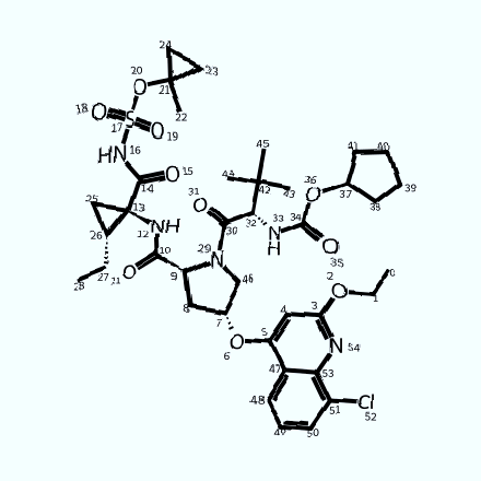 CCOc1cc(O[C@@H]2C[C@@H](C(=O)N[C@]3(C(=O)NS(=O)(=O)OC4(C)CC4)C[C@H]3CC)N(C(=O)[C@@H](NC(=O)OC3CCCC3)C(C)(C)C)C2)c2cccc(Cl)c2n1